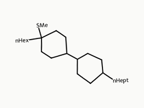 CCCCCCCC1CCC(C2CCC(CCCCCC)(SC)CC2)CC1